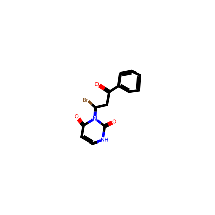 O=C(CC(Br)n1c(=O)cc[nH]c1=O)c1ccccc1